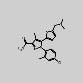 Cc1c(C(N)=O)nn(-c2ccc(Cl)cc2Cl)c1-c1ccc(CN(C)C)s1